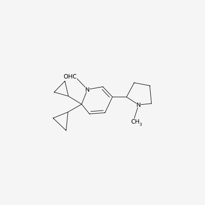 CN1CCCC1C1=CN(C=O)C(C2CC2)(C2CC2)C=C1